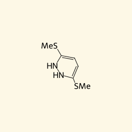 CSC1=CC=C(SC)NN1